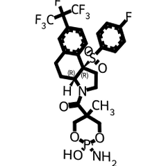 CC1(C(=O)N2CC[C@@]3(S(=O)(=O)c4ccc(F)cc4)c4ccc(C(F)(C(F)(F)F)C(F)(F)F)cc4CC[C@@H]23)CO[P](N)(O)OC1